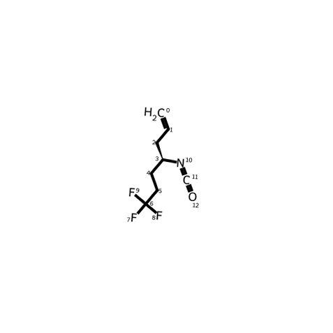 C=CC[C@H](CCC(F)(F)F)N=C=O